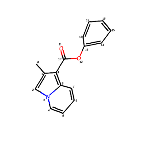 Cc1cn2ccccc2c1C(=O)Oc1ccccc1